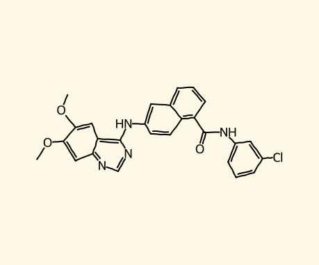 COc1cc2ncnc(Nc3ccc4c(C(=O)Nc5cccc(Cl)c5)cccc4c3)c2cc1OC